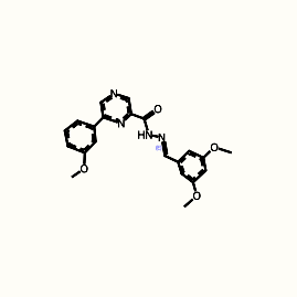 COc1cc(/C=N/NC(=O)c2cncc(-c3cccc(OC)c3)n2)cc(OC)c1